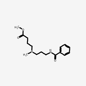 COC(=O)CCCN(C)CCCNC(=O)c1ccccc1